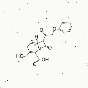 O=C(O)C1=C(CO)CS[C@@H]2C(C(=O)COc3ccccc3)C(=O)N12